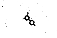 CC1CCC(c2cc(F)cc(F)c2)CC1